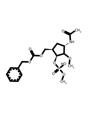 COC1[C@@H](NC(C)=O)C[C@H](COC(=O)OCc2ccccc2)[C@@H]1OP(=O)(O)OC